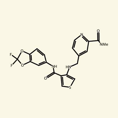 CNC(=O)c1cc(CNc2cscc2C(=O)Nc2ccc3c(c2)OC(F)(F)O3)ccn1